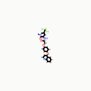 Cn1cc(C(F)(F)F)cc(NC(=O)COc2ccc(Oc3ccnc4ccccc34)cc2)c1=O